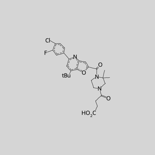 CC(C)(C)c1cc(-c2ccc(Cl)c(F)c2)nc2cc(C(=O)N3CCN(C(=O)CCC(=O)O)CC3(C)C)oc12